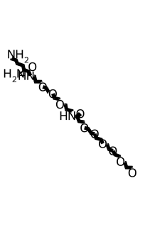 NCCCC[C@H](N)C(=O)NCCCOCCOCCOCCCNC(=O)CCOCCOCCOCCOCCOCCC=O